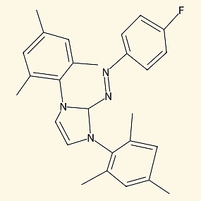 Cc1cc(C)c(N2C=CN(c3c(C)cc(C)cc3C)C2N=Nc2ccc(F)cc2)c(C)c1